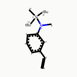 C=Cc1cccc(N(C)[Si](C)(C(C)(C)C)C(C)(C)C)c1